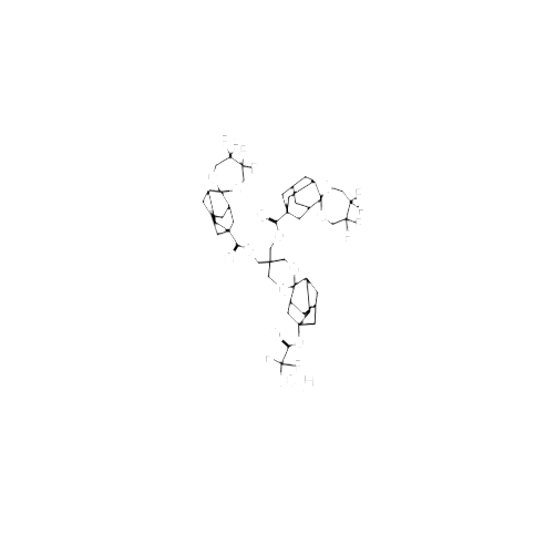 O=C(OCC1(COC(=O)C23CC4CC(C2)C2(OCC(F)(F)C(F)(F)CO2)C(C4)C3)COC2(OC1)C1CC3CC2CC(OC(=O)C(F)(F)S(=O)(=O)O)(C3)C1)C12CC3CC(C1)C1(OCC(F)(F)C(F)(F)CO1)C(C3)C2